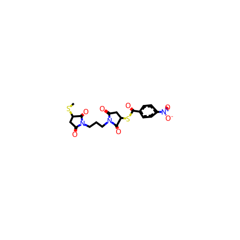 CSC1CC(=O)N(CCCN2C(=O)CC(SC(=O)c3ccc([N+](=O)[O-])cc3)C2=O)C1=O